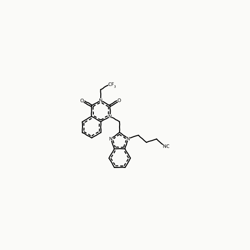 [C-]#[N+]CCCn1c(Cn2c(=O)n(CC(F)(F)F)c(=O)c3ccccc32)nc2ccccc21